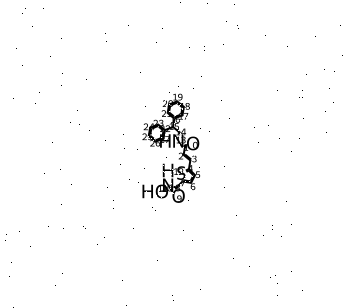 O=C(/C=C/c1ccc(C(=O)NO)s1)NCC(c1ccccc1)c1ccccc1